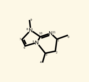 CC1CC(C)N2C=CN(C)C2=N1